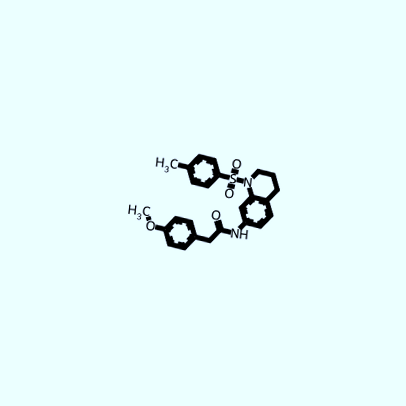 COc1ccc(CC(=O)Nc2ccc3c(c2)N(S(=O)(=O)c2ccc(C)cc2)CCC3)cc1